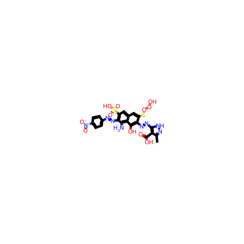 Cc1n[nH]c(/N=N/c2c(SOOO)cc3cc(S(=O)(=O)O)c(/N=N/c4ccc([N+](=O)[O-])cc4)c(N)c3c2O)c1C(=O)O